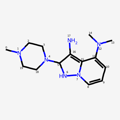 CN1CCN(C2NN3C=CC=C(N(C)C)C3=C2N)CC1